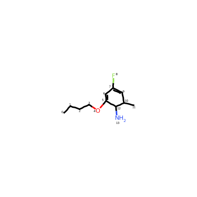 CCCCOC1=CC(F)=CC(C)C1N